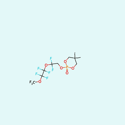 CC1(C)COP(=O)(OCC(F)(F)OC(F)(F)C(F)(F)OC(F)(F)F)OC1